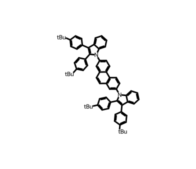 CC(C)(C)c1ccc(-c2c(-c3ccc(C(C)(C)C)cc3)n(-c3ccc4c(ccc5cc(-n6c(-c7ccc(C(C)(C)C)cc7)c(-c7ccc(C(C)(C)C)cc7)c7ccccc76)ccc54)c3)c3ccccc23)cc1